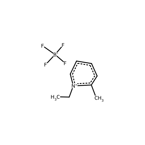 CC[n+]1ccccc1C.F[B-](F)(F)F